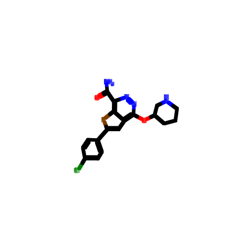 NC(=O)c1nnc(OC2CCCNC2)c2cc(-c3ccc(Cl)cc3)sc12